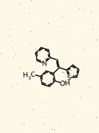 Cc1ccc(O)c(/C(=C\c2ccccn2)c2cccs2)c1